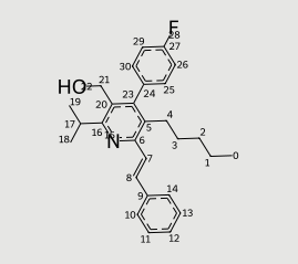 CCCCCc1c(/C=C/c2ccccc2)nc(C(C)C)c(CO)c1-c1ccc(F)cc1